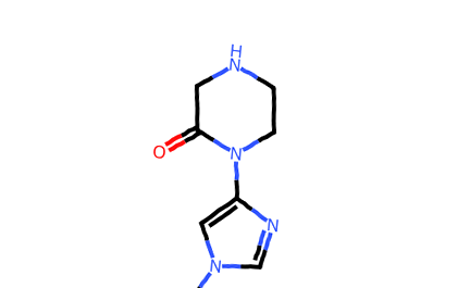 Cn1cnc(N2CCNCC2=O)c1